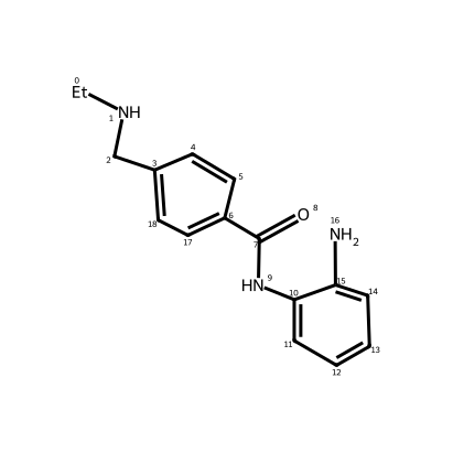 CCNCc1ccc(C(=O)Nc2ccccc2N)cc1